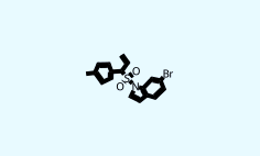 C=CC(c1ccc(C)cc1)S(=O)(=O)n1ccc2ccc(Br)cc21